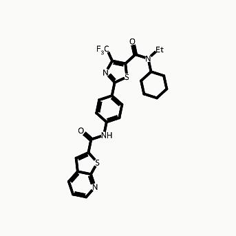 CCN(C(=O)c1sc(-c2ccc(NC(=O)c3cc4cccnc4s3)cc2)nc1C(F)(F)F)C1CCCCC1